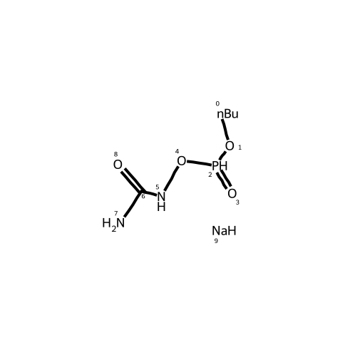 CCCCO[PH](=O)ONC(N)=O.[NaH]